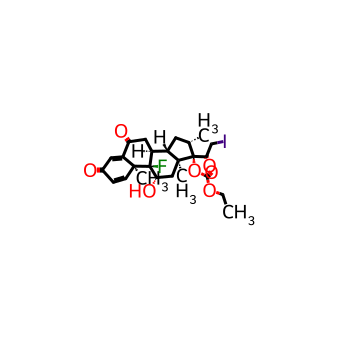 CCOC(=O)O[C@]1(C(=O)CI)[C@@H](C)C[C@H]2[C@@H]3CC(=O)C4=CC(=O)C=C[C@]4(C)[C@@]3(F)[C@@H](O)C[C@@]21C